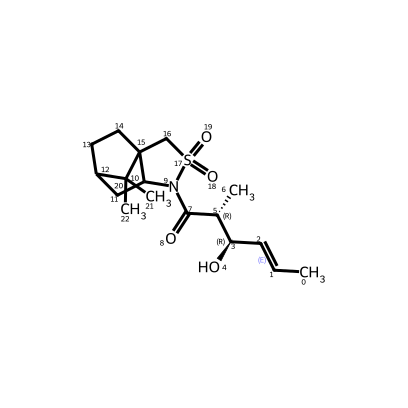 C/C=C/[C@@H](O)[C@@H](C)C(=O)N1C2CC3CCC2(CS1(=O)=O)C3(C)C